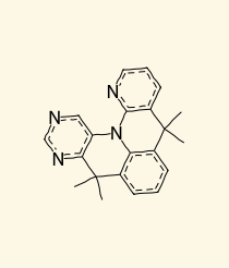 CC1(C)c2cccnc2N2c3cncnc3C(C)(C)c3cccc1c32